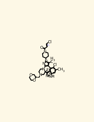 CC[C@@]1(C)CN(C[C@@H]2COCCO2)CCN1c1nn(C2CCN(C(=O)/C=C/Cl)CC2)c(C)c1-c1c(Cl)c(C)cc2[nH]ncc12